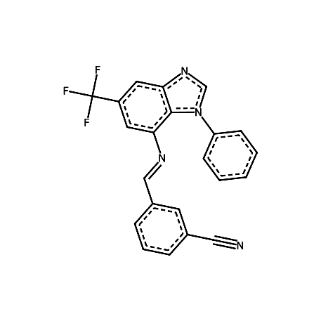 N#Cc1cccc(C=Nc2cc(C(F)(F)F)cc3ncn(-c4ccccc4)c23)c1